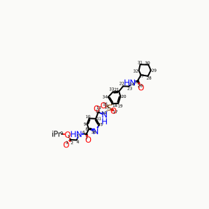 CC(C)OC(=O)CNC(=O)c1ccc(C(=O)NS(=O)(=O)c2ccc(CCNC(=O)C3CCCCC3)cc2)cn1